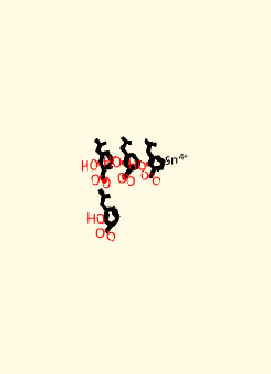 CC(C)Cc1cccc(C(=O)[O-])c1O.CC(C)Cc1cccc(C(=O)[O-])c1O.CC(C)Cc1cccc(C(=O)[O-])c1O.CC(C)Cc1cccc(C(=O)[O-])c1O.[Sn+4]